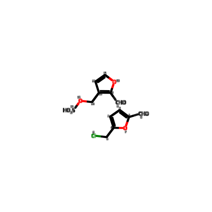 O=Cc1ccc(CCl)o1.O=Cc1occc1COS(=O)(=O)O